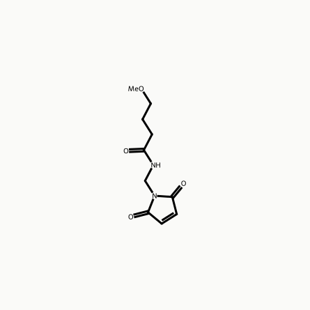 COCCCC(=O)NCN1C(=O)C=CC1=O